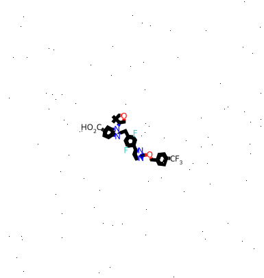 CC1(C)COCC1n1c(Cc2cc(F)c(-c3ccnc(OCc4ccc(C(F)(F)F)cc4)n3)cc2F)nc2ccc(C(=O)O)cc21